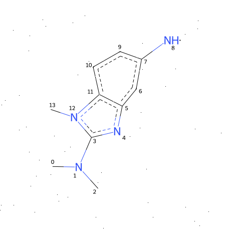 CN(C)c1nc2cc([NH])ccc2n1C